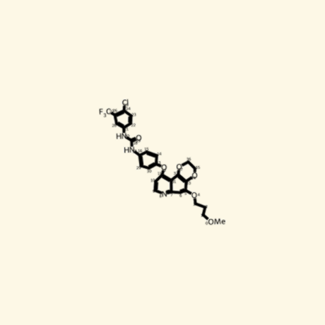 COCCCOc1cc2nccc(Oc3ccc(NC(=O)Nc4ccc(Cl)c(C(F)(F)F)c4)cc3)c2c2c1OCCO2